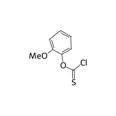 COc1ccccc1OC(=S)Cl